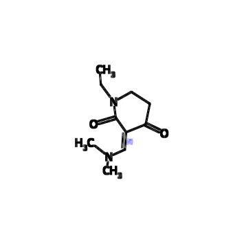 CCN1CCC(=O)/C(=C/N(C)C)C1=O